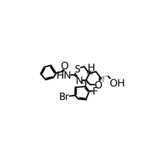 O=C(NC1=N[C@@]2(c3cc(Br)ccc3F)CO[C@@H](CO)C[C@H]2CS1)c1ccccc1